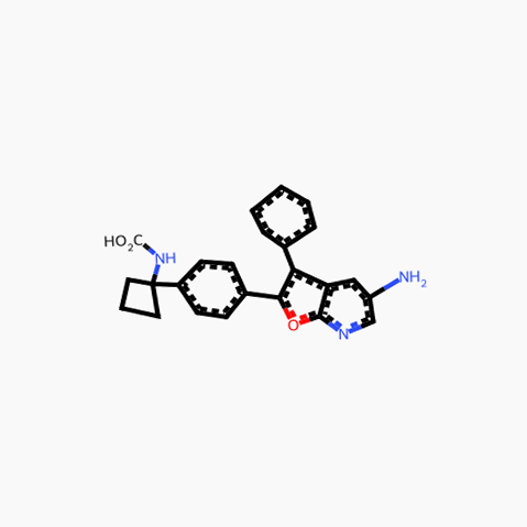 Nc1cnc2oc(-c3ccc(C4(NC(=O)O)CCC4)cc3)c(-c3ccccc3)c2c1